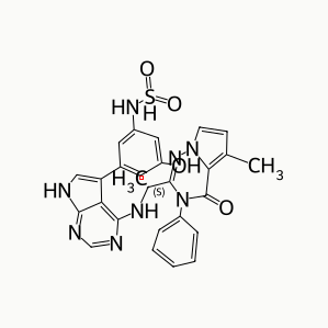 Cc1ccn2nc([C@H](C)Nc3ncnc4[nH]cc(-c5cc(O)cc(N[SH](=O)=O)c5)c34)n(-c3ccccc3)c(=O)c12